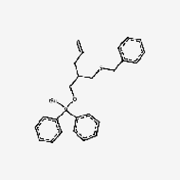 C=CCC(CO[Si](c1ccccc1)(c1ccccc1)C(C)(C)C)CSCc1ccccc1